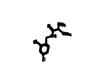 COC(OC)C(=O)NCc1ccc(Cl)cc1Cl